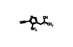 C[C@H](O)Cn1cnc(C#N)c1N